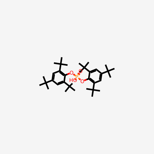 CC(C)(C)c1cc(C(C)(C)C)c(OP(=O)(O)Oc2c(C(C)(C)C)cc(C(C)(C)C)cc2C(C)(C)C)c(C(C)(C)C)c1